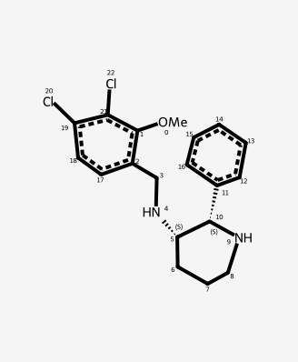 COc1c(CN[C@H]2CCCN[C@H]2c2ccccc2)ccc(Cl)c1Cl